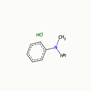 CCCN(C)c1ccccc1.Cl